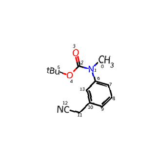 CN(C(=O)OC(C)(C)C)c1cccc(CC#N)c1